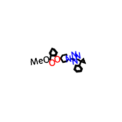 COC(=O)c1ccccc1OC1CCN(c2nnc(C3(c4ccccc4)CC3)n2C)CC1